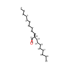 CCCCCCCCCC=C(C=O)CCCCCCCC